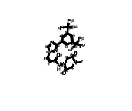 CN1CC(=O)N(NC(=O)/C=C\n2cnc(-c3cc(C(F)(F)F)cc(C(F)(F)F)c3)n2)CC1=O